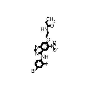 C=CC(=O)NCCOc1cc2ncnc(Nc3ccc(Br)cc3F)c2cc1[N+](=O)[O-]